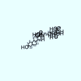 C[C@]12CCC3c4ccc(O)cc4CCC3C1CC[C@]2(O)C(=O)NCCCNCC(P(=O)(O)O)P(=O)(O)O